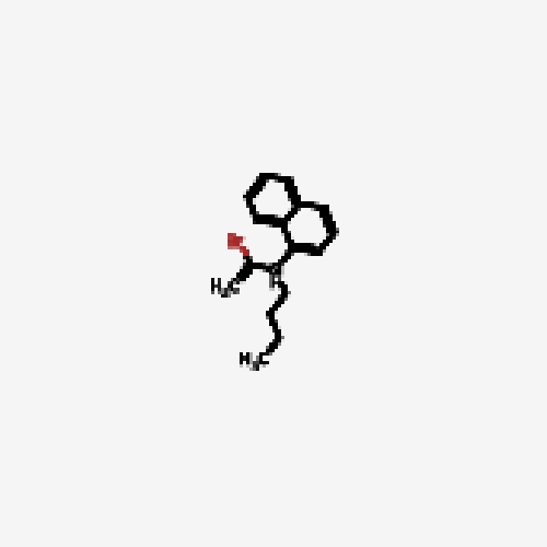 C=C(Br)[SiH](CCCC)c1cccc2ccccc12